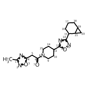 Cc1noc(CC(=O)N2CCC(c3nc(C4CCCC5CC54)no3)CC2)n1